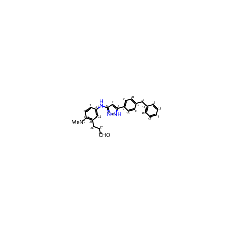 CNc1ccc(Nc2cc(-c3ccc(Cc4ccccc4)cc3)[nH]n2)cc1CCC=O